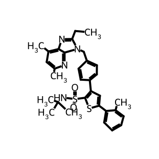 CCc1nc2c(C)cc(C)nc2n1Cc1ccc(-c2cc(-c3ccccc3C)sc2S(=O)(=O)NC(C)(C)C)cc1